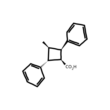 C[C@H]1[C@@H](c2ccccc2)[C@@H](C(=O)O)[C@@H]1c1ccccc1